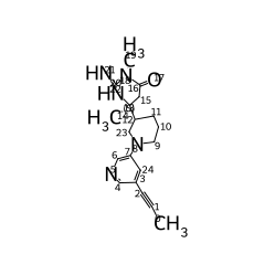 CC#Cc1cncc(N2CCCC([C@]3(C)CC(=O)N(C)C(=N)N3)C2)c1